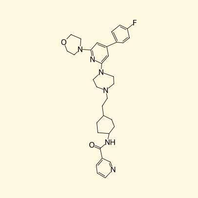 O=C(NC1CCC(CCN2CCN(c3cc(-c4ccc(F)cc4)cc(N4CCOCC4)n3)CC2)CC1)c1cccnc1